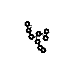 c1cc(-c2ccc3c(c2)oc2ccccc23)cc(N(c2ccc(-c3ccc4ccccc4c3)cc2)c2cccc(-n3c4ccccc4c4ccccc43)c2)c1